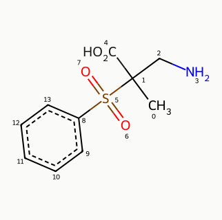 CC(CN)(C(=O)O)S(=O)(=O)c1ccccc1